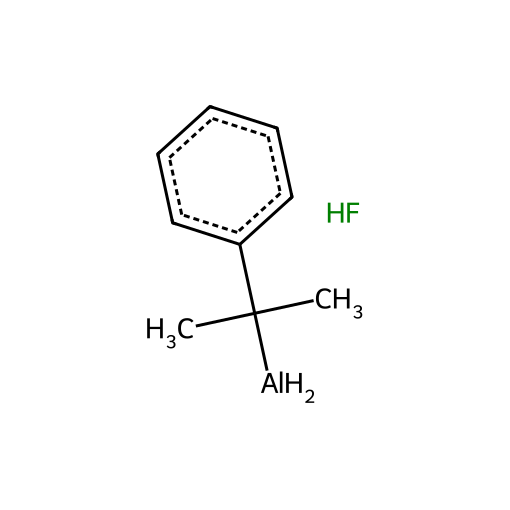 C[C](C)([AlH2])c1ccccc1.F